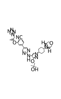 C[C@@H](Cn1cnnn1)Oc1cc(-c2cnc(Nc3cn(C4CCC(N5[C@@H]6CC[C@H]5COC6)CC4)nc3OCC(C)(C)O)nc2)ccc1C#N